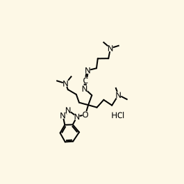 CN(C)CCCN=C=NCC(CCCN(C)C)(CCCN(C)C)On1nnc2ccccc21.Cl